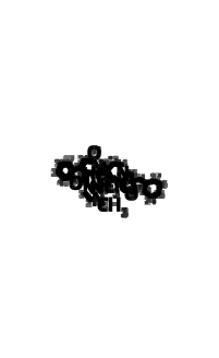 CN1CCN(C(=O)c2cn(CC3(O)CCN(C[C@@](C)(C=O)CC4CCCCC4)CC3(C)C)c(=O)cc2-c2ccccc2)CC1